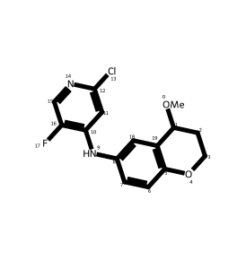 COC1CCOc2ccc(Nc3cc(Cl)ncc3F)cc21